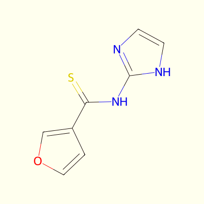 S=C(Nc1ncc[nH]1)c1ccoc1